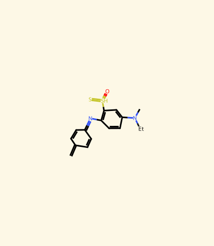 C=C1C=CC(=Nc2ccc(N(C)CC)cc2[SH](=O)=S)C=C1